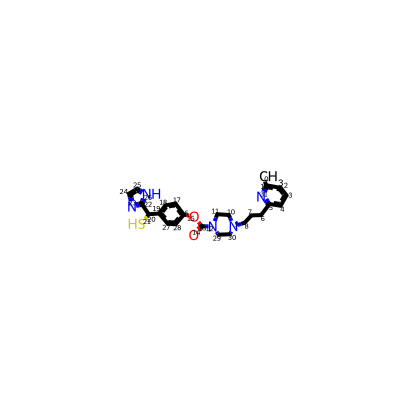 Cc1cccc(CCCN2CCN(C(=O)Oc3ccc(C(S)c4ncc[nH]4)cc3)CC2)n1